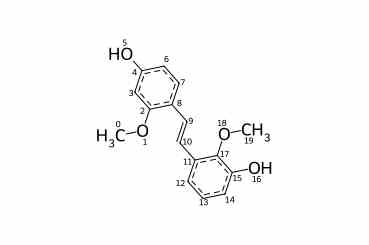 COc1cc(O)ccc1/C=C/c1cccc(O)c1OC